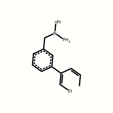 C/C=C\C(=C/CC)c1cccc(CN(P)CCC)c1